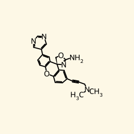 CN(C)CC#Cc1ccc2c(c1)[C@]1(COC(N)=N1)c1cc(-c3cncnc3)ccc1O2